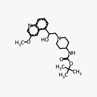 COc1cnc2cccc(C(O)CN3CCC(NC(=O)OC(C)(C)C)CC3)c2c1